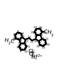 Cc1cccc2c1-c1ccccc1C2CCC1c2ccccc2-c2c(C)cccc21.[Cl-].[Cl-].[Hf+2]